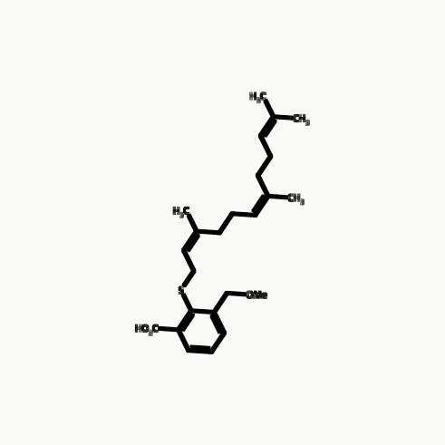 COCc1cccc(C(=O)O)c1SCC=C(C)CCC=C(C)CCC=C(C)C